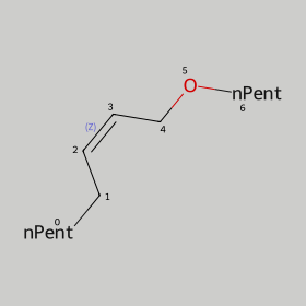 CCCCCC/C=C\COCCCCC